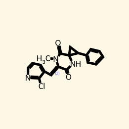 CN1C(=O)C2(CC2c2ccccc2)NC(=O)/C1=C/c1cccnc1Cl